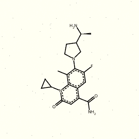 Cc1c(N2CCC([C@H](C)N)C2)c(F)cc2c(C(N)=O)cc(=O)n(C3CC3)c12